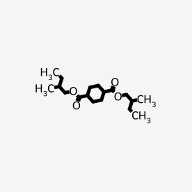 CCC(C)COC(=O)C1CCC(C(=O)OCC(C)CC)CC1